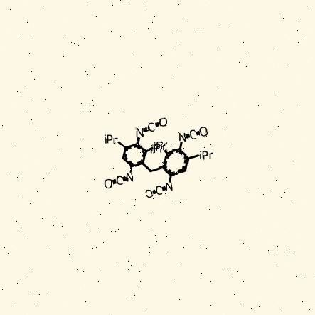 CC(C)c1cc(N=C=O)c(Cc2c(N=C=O)cc(C(C)C)c(N=C=O)c2C(C)C)c(C(C)C)c1N=C=O